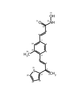 C=C(/C=C/c1ccc(/C=C/C(=O)NO)cc1C)c1cccs1